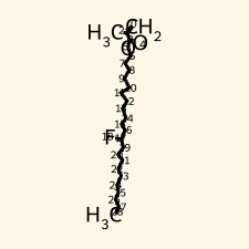 C=C(C)C(=O)OCCCCCCCCCCCC(F)CCCCCCCCCC